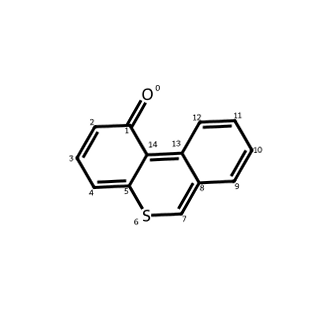 O=c1cccc2scc3ccccc3c1-2